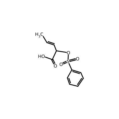 CC=CC(OS(=O)(=O)c1ccccc1)C(=O)O